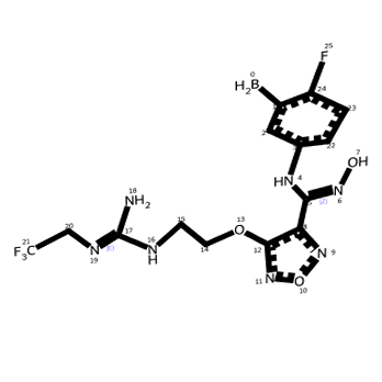 Bc1cc(N/C(=N\O)c2nonc2OCCN/C(N)=N/CC(F)(F)F)ccc1F